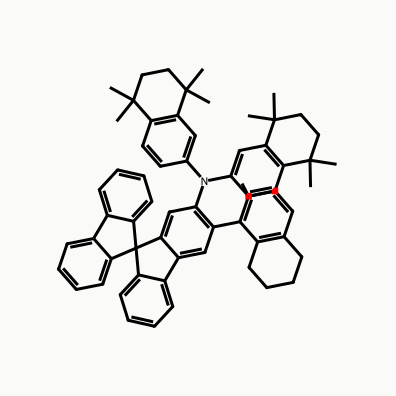 Cc1ccc2c(c1-c1cc3c(cc1N(c1ccc4c(c1)C(C)(C)CCC4(C)C)c1ccc4c(c1)C(C)(C)CCC4(C)C)C1(c4ccccc4-c4ccccc41)c1ccccc1-3)CCCC2